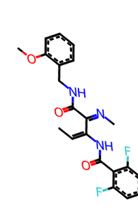 C/C=C(NC(=O)c1c(F)cccc1F)\C(=N/C)C(=O)NCc1ccccc1OC